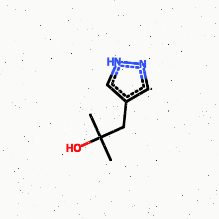 CC(C)(O)Cc1[c]n[nH]c1